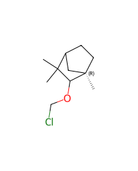 CC1(C)C2CC[C@](C)(C2)C1OCCl